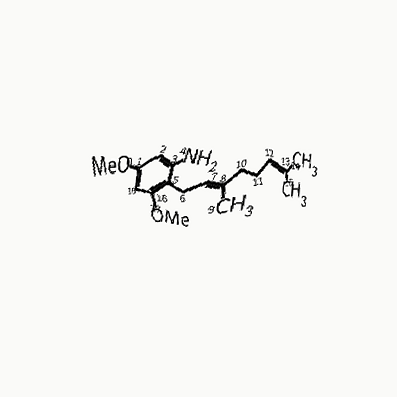 COc1cc(N)c(C/C=C(\C)CCC=C(C)C)c(OC)c1